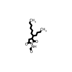 CCCCCCC(CCCC)C1CC(=O)N(NC=O)C1=O